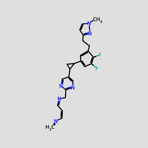 C=N/C=C\C=N/Cc1ncc(C2CC2c2cc(F)c(F)c(CCc3ccn(C)n3)c2)cn1